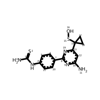 NC(=S)Nc1ccc(-c2nc(N)cc(C3(SO)CC3)n2)cc1